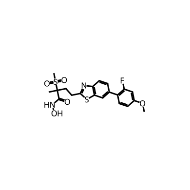 COc1ccc(-c2ccc3nc(CCC(C)(C(=O)NO)S(C)(=O)=O)sc3c2)c(F)c1